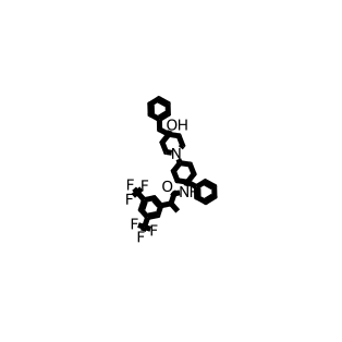 CC(C(=O)NC1(c2ccccc2)CCC(N2CCC(O)(Cc3ccccc3)CC2)CC1)c1cc(C(F)(F)F)cc(C(F)(F)F)c1